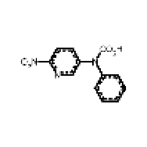 O=C(O)N(c1ccccc1)c1ccc([N+](=O)[O-])nc1